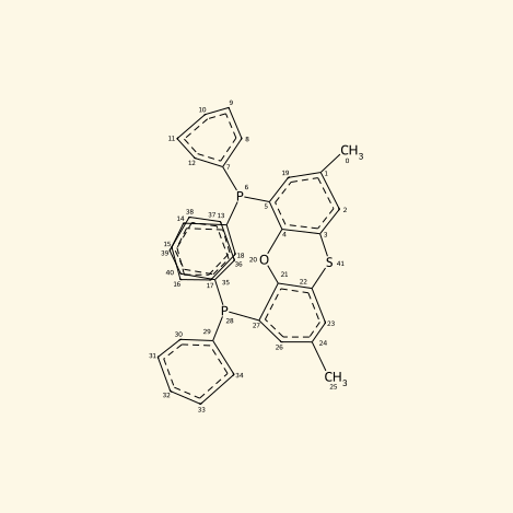 Cc1cc2c(c(P(c3ccccc3)c3ccccc3)c1)Oc1c(cc(C)cc1P(c1ccccc1)c1ccccc1)S2